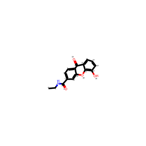 CCNC(=O)c1ccc2c(=O)c3cccc(O)c3oc2c1